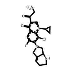 O=C(C[N+](=O)[O-])c1cn(C2CC2)c2c(Cl)c(N3CC4=CCCNC4C3)c(F)cc2c1=O